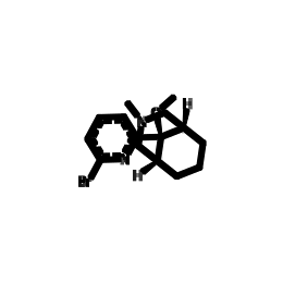 CO[C@]1(c2cccc(Br)n2)[C@@H]2CCC[C@H]1CN(C)C2